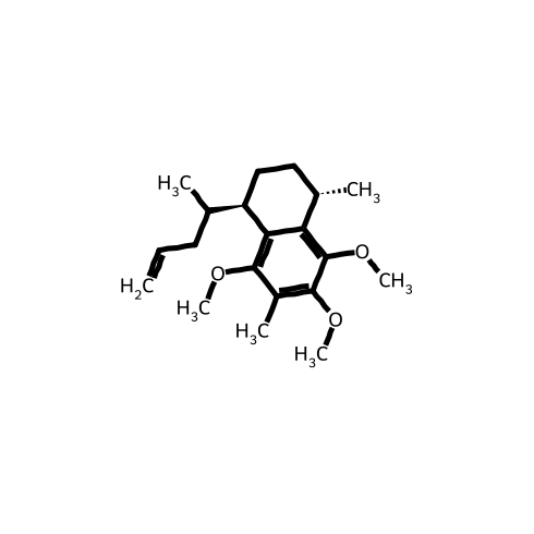 C=CCC(C)[C@H]1CC[C@H](C)c2c(OC)c(OC)c(C)c(OC)c21